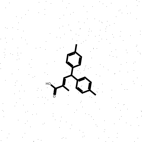 C/C(=C\C(c1ccc(C)cc1)c1ccc(C)cc1)C(=O)O